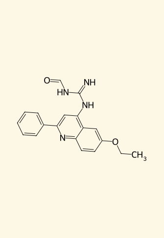 CCOc1ccc2nc(-c3ccccc3)cc(NC(=N)NC=O)c2c1